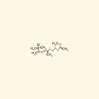 C=C(CC)CCCCC(=C)CCC(C)C(C)(C)Cl